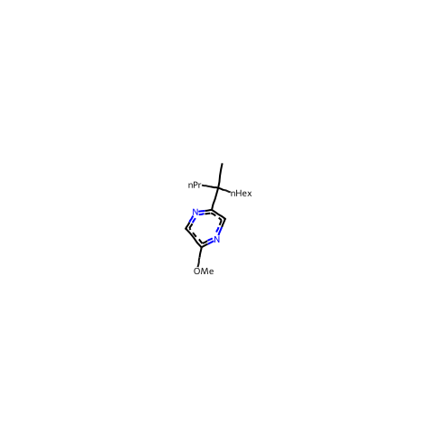 CCCCCCC(C)(CCC)c1cnc(OC)cn1